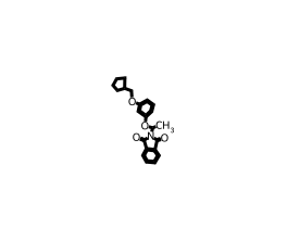 CC(Oc1cccc(OCC2CCCC2)c1)N1C(=O)c2ccccc2C1=O